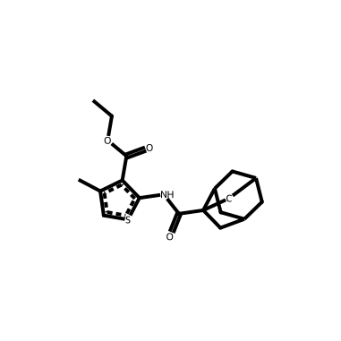 CCOC(=O)c1c(C)csc1NC(=O)C12CC3CC(CC1C3)C2